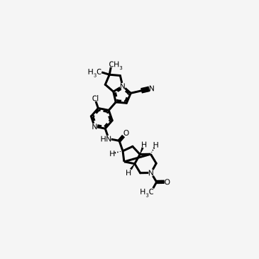 CC(=O)N1C[C@@H]2C3[C@@H](C(=O)Nc4cc(-c5cc(C#N)n6c5CC(C)(C)C6)c(Cl)cn4)C[C@@H]2[C@H]3C1